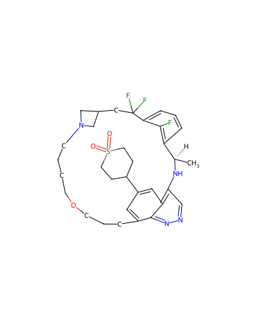 C[C@H]1Nc2cnnc3c(cc(C4CCS(=O)(=O)CC4)cc23)CCCOCCCCN2CC(C2)CC(F)(F)c2cccc1c2F